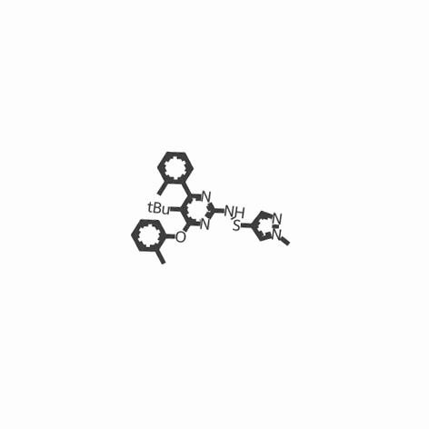 Cc1ccccc1Oc1nc(NSc2cnn(C)c2)nc(-c2ccccc2C)c1C(C)(C)C